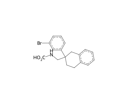 O=C(O)NCC1(c2cccc(Br)c2)CCc2ccccc2C1